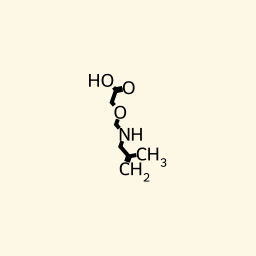 C=C(C)CNCOCC(=O)O